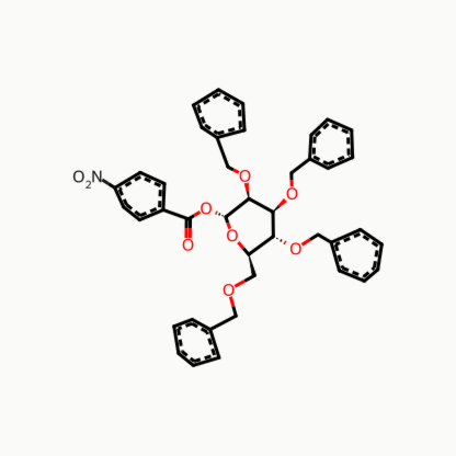 O=C(O[C@H]1O[C@H](COCc2ccccc2)[C@@H](OCc2ccccc2)[C@H](OCc2ccccc2)[C@@H]1OCc1ccccc1)c1ccc([N+](=O)[O-])cc1